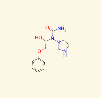 NC(=O)N(C(O)COc1ccccc1)N1CCNC1